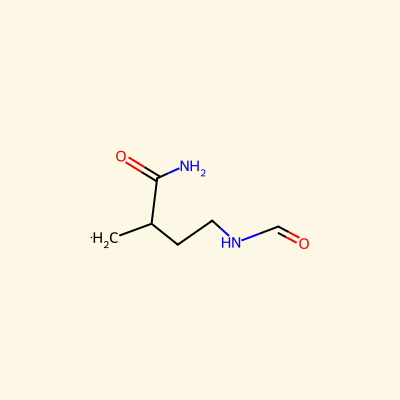 [CH2]C(CCNC=O)C(N)=O